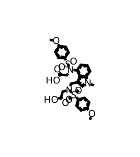 COc1ccc(S(=O)(=O)N(CC(=O)O)Cc2cn(C)c3cccc(N(CC(=O)O)S(=O)(=O)c4ccc(OC)cc4)c23)cc1